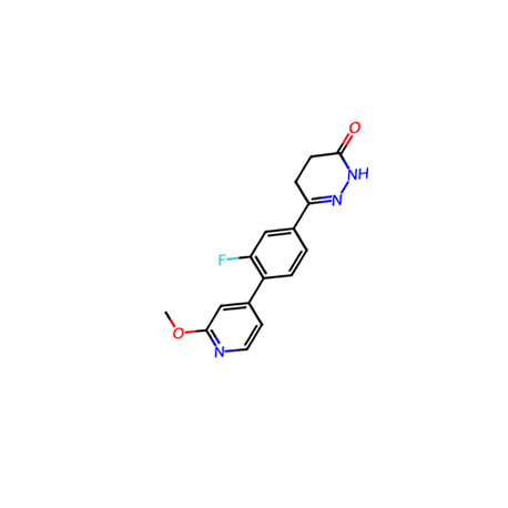 COc1cc(-c2ccc(C3=NNC(=O)CC3)cc2F)ccn1